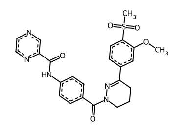 COc1cc(C2=NN(C(=O)c3ccc(NC(=O)c4cnccn4)cc3)CCC2)ccc1S(C)(=O)=O